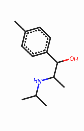 Cc1ccc(C(O)C(C)NC(C)C)cc1